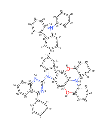 c1ccc(-c2nc(-n3c4ccc(-c5ccc6c(c5)c5ccccc5n6-c5ccccc5)cc4c4c5c6c(cc43)Oc3ccccc3N6c3ccccc3O5)nc3ccccc23)cc1